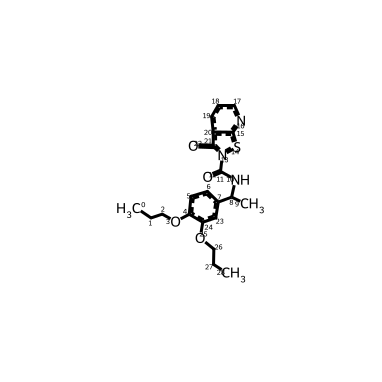 CCCOc1ccc(C(C)NC(=O)n2sc3ncccc3c2=O)cc1OCCC